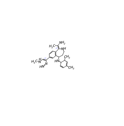 CN/C=C(\N=N)c1ccc2c(c1)C(NC1C=CC(C)=CC1C)CCN/C2=C(/C)N